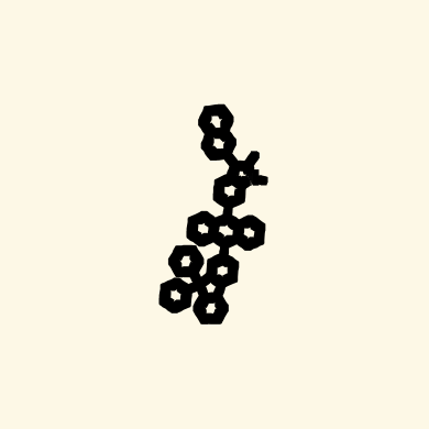 Cc1c(-c2ccc3ccccc3c2)c2ccc(-c3c4ccccc4c(-c4ccc5c(c4)C(c4ccccc4)(c4ccccc4)c4ccccc4-5)c4ccccc34)cc2n1C